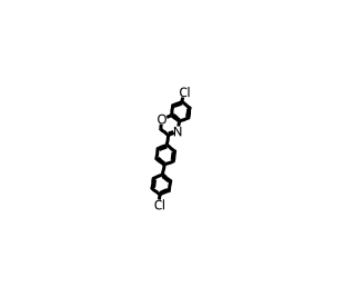 Clc1ccc(-c2ccc(C3=Nc4ccc(Cl)cc4OC3)cc2)cc1